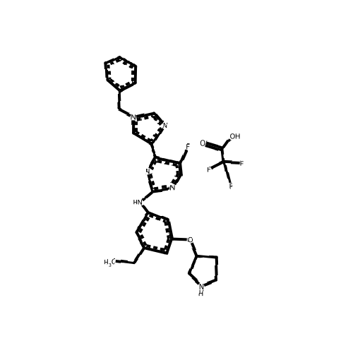 CCc1cc(Nc2ncc(F)c(-c3cn(Cc4ccccc4)cn3)n2)cc(OC2CCNC2)c1.O=C(O)C(F)(F)F